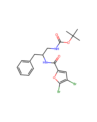 CC(C)(C)OC(=O)NCC(Cc1ccccc1)NC(=O)c1cc(Br)c(Br)o1